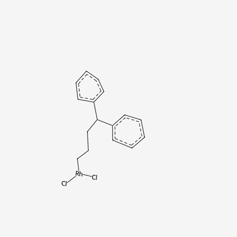 [Cl][Rh]([Cl])[CH2]CCC(c1ccccc1)c1ccccc1